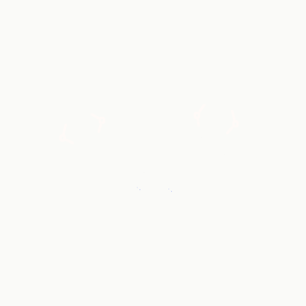 c1csc(-c2sc(-c3ccc(-c4sc(-c5cccs5)c5c4OCCO5)c4nsnc34)c3c2OCCO3)c1